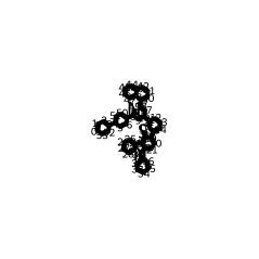 c1ccc(-c2ccc(-c3cc(-c4cccc5c4sc4c5ccc5c4c4ccccc4n5-c4ccccc4)cc(-c4cccc5ccccc45)n3)cc2)cc1